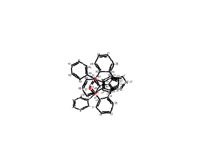 S=P(c1ccccc1)(c1ccccc1)c1ccccc1-c1cncc(-c2ccccc2P(=S)(c2ccccc2)c2ccccc2)c1-c1ccccc1